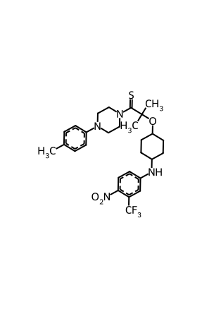 Cc1ccc(N2CCN(C(=S)C(C)(C)OC3CCC(Nc4ccc([N+](=O)[O-])c(C(F)(F)F)c4)CC3)CC2)cc1